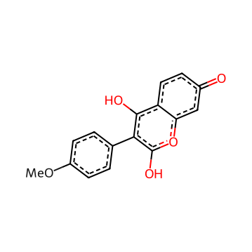 COc1ccc(-c2c(O)oc3cc(=O)ccc-3c2O)cc1